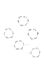 c1ccc(-c2ccc3c(c2)B2c4cc(-c5ccccc5)ccc4Sc4cccc(c42)S3)cc1